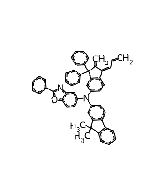 C=C/C=C1\C(=C)C(c2ccccc2)(c2ccccc2)c2cc(N(c3ccc4c(c3)C(C)(C)c3ccccc3-4)c3ccc4oc(-c5ccccc5)nc4c3)ccc21